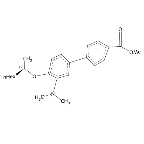 CCCCCC[C@@H](C)Oc1ccc(-c2ccc(C(=O)OC)cc2)cc1N(C)C